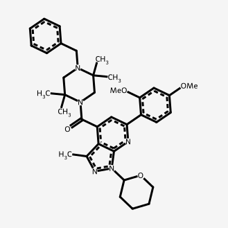 COc1ccc(-c2cc(C(=O)N3CC(C)(C)N(Cc4ccccc4)CC3(C)C)c3c(C)nn(C4CCCCO4)c3n2)c(OC)c1